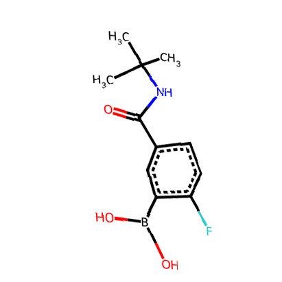 CC(C)(C)NC(=O)c1ccc(F)c(B(O)O)c1